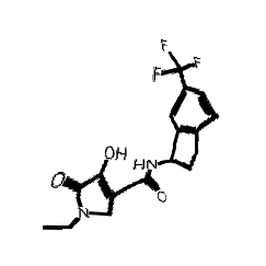 CCN1CC(C(=O)NC2CCc3ccc(C(F)(F)F)cc32)=C(O)C1=O